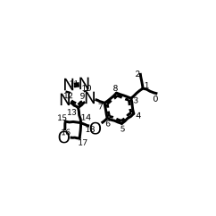 CC(C)c1ccc2c(c1)-n1nnnc1C1(COC1)O2